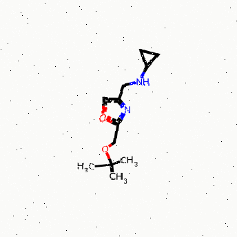 CC(C)(C)OCc1nc(CNC2CC2)co1